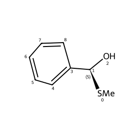 CS[C@H](O)c1ccccc1